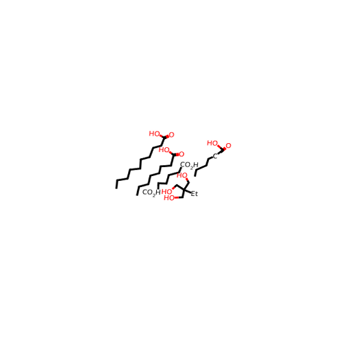 CCC(CO)(CO)CO.CCCCCC(=O)O.CCCCCCCC(=O)O.CCCCCCCCCC(=O)O.O=C(O)CCCCC(=O)O